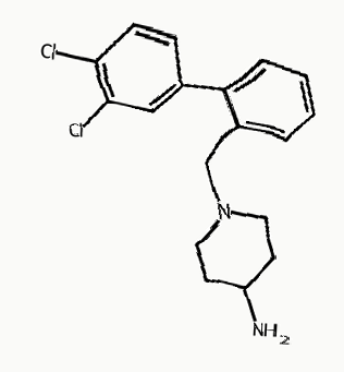 NC1CCN(Cc2ccccc2-c2ccc(Cl)c(Cl)c2)CC1